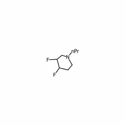 CCCN1CCC(F)C(F)C1